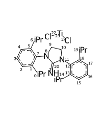 CC(C)c1cccc(C(C)C)c1N1CCN(c2c(C(C)C)cccc2C(C)C)C1=N.[Cl][Ti][Cl]